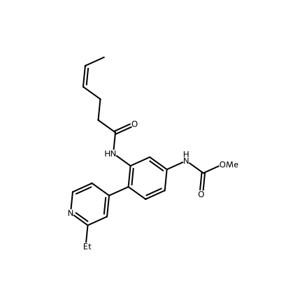 C/C=C\CCC(=O)Nc1cc(NC(=O)OC)ccc1-c1ccnc(CC)c1